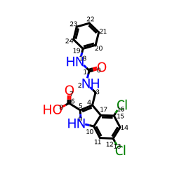 O=C(NCc1c(C(=O)O)[nH]c2cc(Cl)cc(Cl)c12)Nc1ccccc1